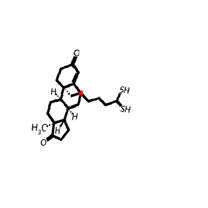 C[C@]12CC[C@@H]3[C@@H](CCC4=CC(=O)CC[C@@]43CCCCCC(S)S)[C@@H]1CCC2=O